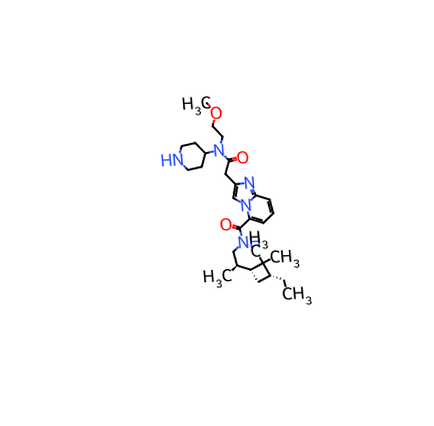 CC[C@@H]1C[C@H]([C@@H](C)CNC(=O)c2cccc3nc(CC(=O)N(CCOC)C4CCNCC4)cn23)C1(C)C